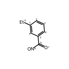 CCc1cccc(C(=O)N=O)c1